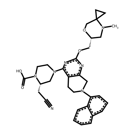 CN1C[C@H](COc2nc3c(c(N4CCN(C(=O)O)[C@@H](CC#N)C4)n2)CCN(c2cccc4ccccc24)C3)OCC12CC2